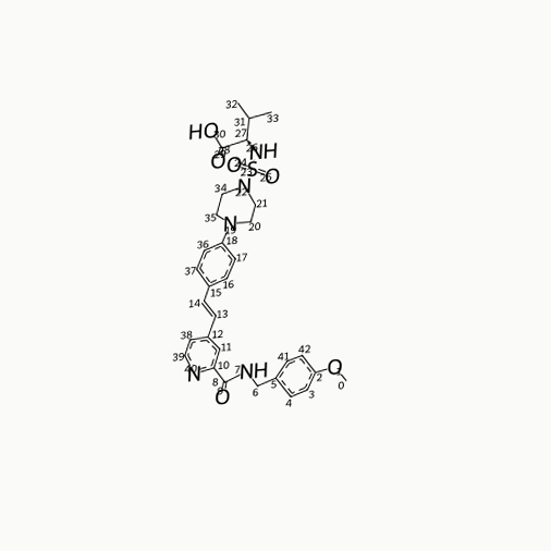 COc1ccc(CNC(=O)c2cc(/C=C/c3ccc(N4CCN(S(=O)(=O)N[C@@H](C(=O)O)C(C)C)CC4)cc3)ccn2)cc1